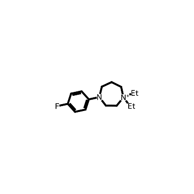 CC[N+]1(CC)CCCN(c2ccc(F)cc2)CC1